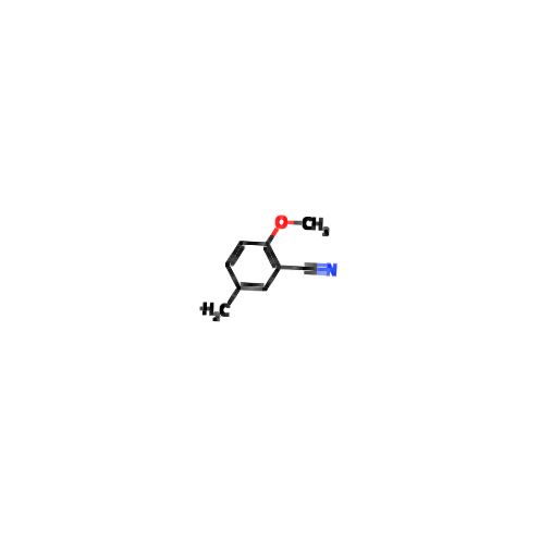 [CH2]c1ccc(OC)c(C#N)c1